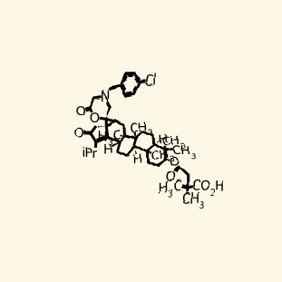 CC(C)C1=C2[C@H]3CC[C@@H]4[C@@]5(C)CC[C@H](OC(=O)CC(C)(C)C(=O)O)C(C)(C)[C@@H]5CC[C@@]4(C)[C@]3(C)CC3[C@]4(CN(Cc5ccc(Cl)cc5)CC(=O)O4)[C@]23CC1=O